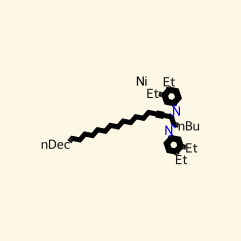 CCCCCCCCCCCCCCCCCCCCCCCC#CC(=N\c1ccc(CC)c(CC)c1)/C(CCCC)=N/c1ccc(CC)c(CC)c1.[Ni]